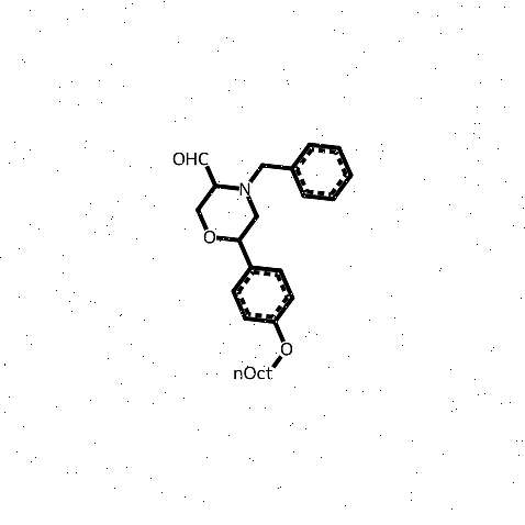 CCCCCCCCOc1ccc(C2CN(Cc3ccccc3)C(C=O)CO2)cc1